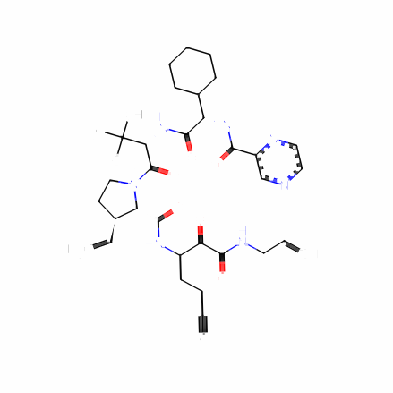 C#CCCC(NC(=O)[C@@H]1[C@@H](C=C)CCN1C(=O)[C@@H](NC(=O)[C@@H](NC(=O)c1cnccn1)C1CCCCC1)C(C)(C)C)C(=O)C(=O)NCC=C